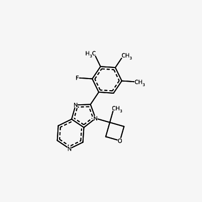 Cc1cc(-c2nc3ccncc3n2C2(C)COC2)c(F)c(C)c1C